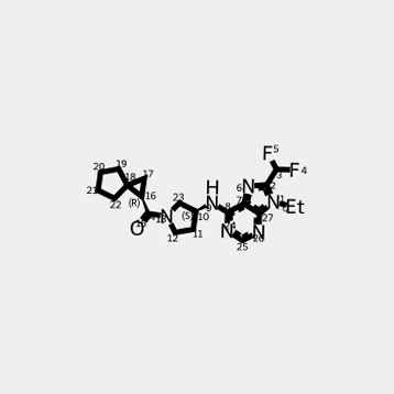 CCn1c(C(F)F)nc2c(N[C@H]3CCN(C(=O)[C@@H]4CC45CCCC5)C3)ncnc21